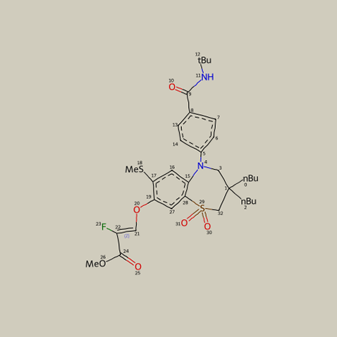 CCCCC1(CCCC)CN(c2ccc(C(=O)NC(C)(C)C)cc2)c2cc(SC)c(O/C=C(\F)C(=O)OC)cc2S(=O)(=O)C1